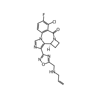 C=CCNCc1nc(-c2ncn3c2[C@@H]2CCN2C(=O)c2c-3ccc(F)c2Cl)no1